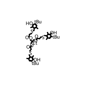 CCC(COC(=O)CCSCc1c(C)cc(C(C)(C)C)c(O)c1C)(COC(=O)CCSCc1c(C)cc(C(C)(C)C)c(O)c1C)COC(=O)CCSCc1c(C)cc(C(C)(C)C)c(O)c1C